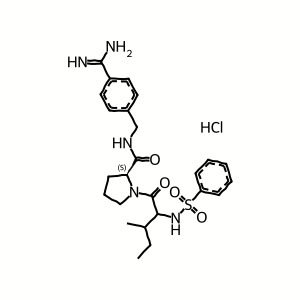 CCC(C)C(NS(=O)(=O)c1ccccc1)C(=O)N1CCC[C@H]1C(=O)NCc1ccc(C(=N)N)cc1.Cl